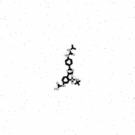 CC(C)NC(=O)Nc1ccc(-c2ncc(-c3ccc(NC(=O)O)cc3S(=O)(=O)NC(C)(C)C)s2)cc1